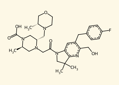 C[C@@H]1COCCN1C[C@H]1CN(C(=O)O)[C@H](C)CN1CC(=O)N1CC(C)(C)c2nc(CO)c(Cc3ccc(F)cc3)cc21